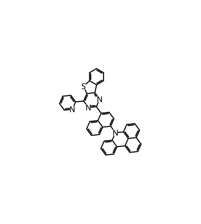 c1ccc(-c2nc(-c3ccc(N4c5ccccc5-c5cccc6cccc4c56)c4ccccc34)nc3c2sc2ccccc23)nc1